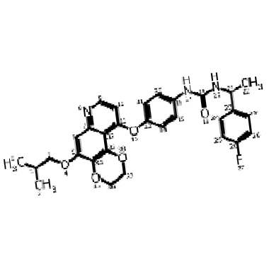 CC(C)COc1cc2nccc(Oc3ccc(NC(=O)N[C@@H](C)c4ccc(F)cc4)cc3)c2c2c1OCCO2